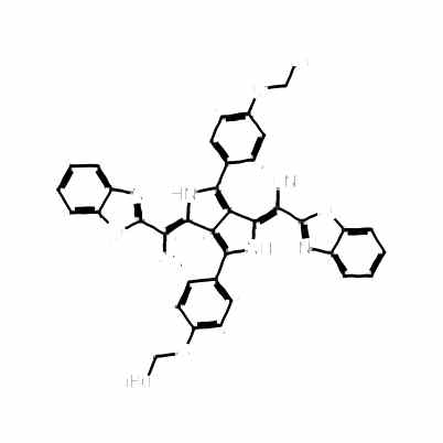 CCC(C)COc1ccc(-c2[nH]/c(=C(/C#N)c3nc4ccccc4o3)c3c(-c4ccc(OCC(C)CC)cc4)[nH]/c(=C(/C#N)c4nc5ccccc5o4)c23)cc1